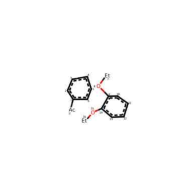 CC(=O)c1ccccc1.CCOc1ccccc1OCC